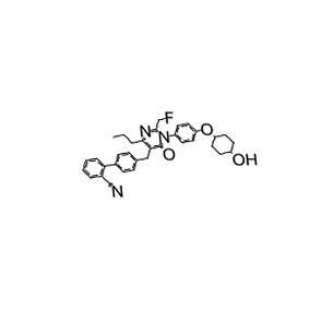 CCCc1nc(CF)n(-c2ccc(OC3CCC(O)CC3)cc2)c(=O)c1Cc1ccc(-c2ccccc2C#N)cc1